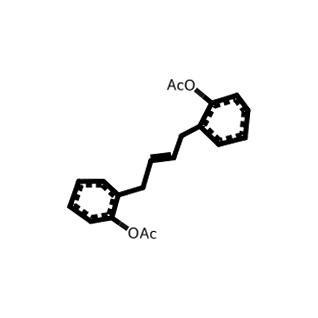 CC(=O)Oc1ccccc1CC=CCc1ccccc1OC(C)=O